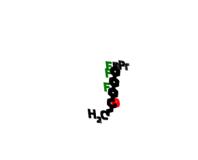 C=CCCC1CCC(c2ccc(-c3ccc(-c4ccc(CCC)c(F)c4F)cc3)c(F)c2)OC1